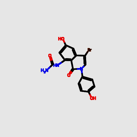 NC(=O)Nc1cc(O)cc2c(Br)cn(-c3ccc(O)cc3)c(=O)c12